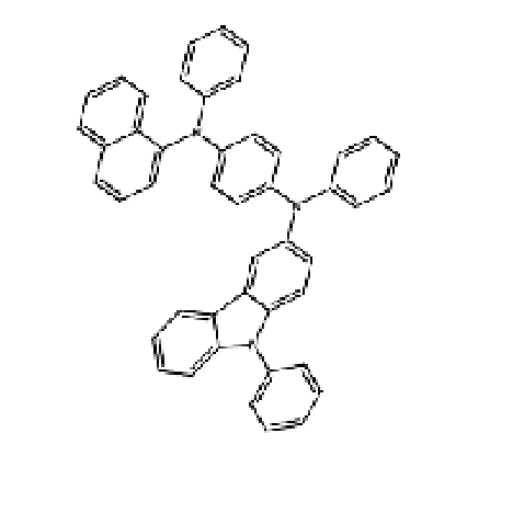 c1ccc(N(c2ccc(N(c3ccccc3)c3cccc4ccccc34)cc2)c2ccc3c(c2)c2ccccc2n3-c2ccccc2)cc1